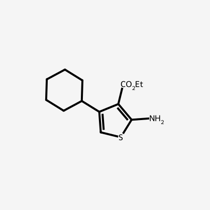 CCOC(=O)c1c(C2CCCCC2)csc1N